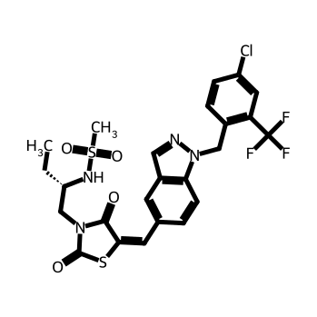 CC[C@@H](CN1C(=O)SC(=Cc2ccc3c(cnn3Cc3ccc(Cl)cc3C(F)(F)F)c2)C1=O)NS(C)(=O)=O